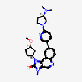 CO[C@H]1CC[C@H](n2c(=O)n(C)c3cnc4ccc(-c5ccc(N6CC[C@@H](N(C)C)C6)nc5)cc4c32)C1